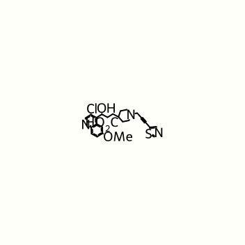 COc1ccc2ncc(Cl)c([C@H](O)CCC3(C(=O)O)CCN(CC#Cc4cncs4)CC3)c2c1